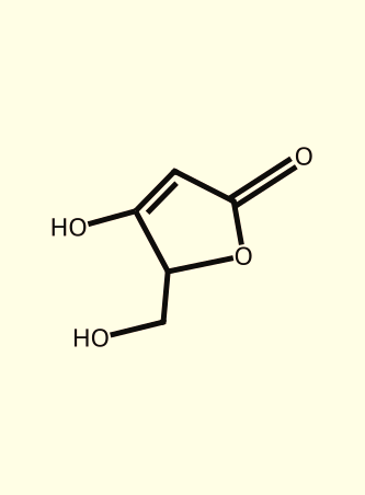 O=C1C=C(O)C(CO)O1